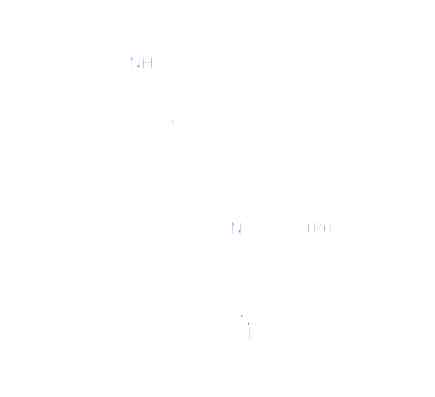 CC(C)(C)C1CNCCN1CCOC(N)=O